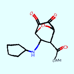 COC(=O)C1C2OC(C(=O)C2=O)C1NC1CCCC1